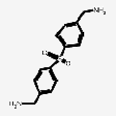 NCc1ccc(S(=O)(=O)c2ccc(CN)cc2)cc1